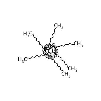 CCCCCCCCCS(=O)(=O)c1c(S(=O)(=O)CCCCCCCCC)c(S(=O)(=O)CCCCCCCCC)c(S(=O)(=O)CCCCCCCCC)c(S(=O)(=O)CCCCCCCCC)c1S(=O)(=O)CCCCCCCCC